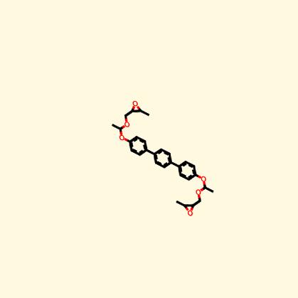 CC(OCC1OC1C)Oc1ccc(-c2ccc(-c3ccc(OC(C)OCC4OC4C)cc3)cc2)cc1